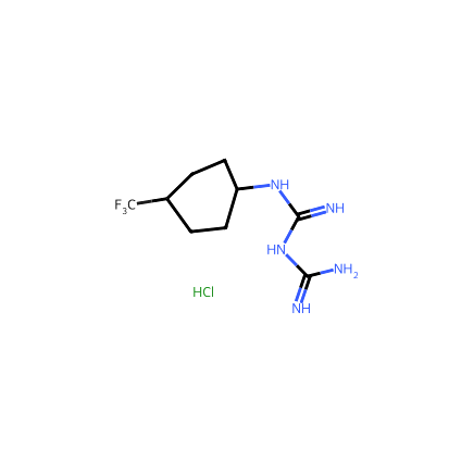 Cl.N=C(N)NC(=N)NC1CCC(C(F)(F)F)CC1